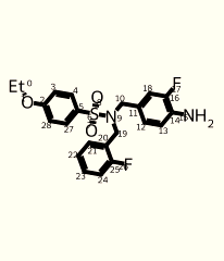 CCOc1ccc(S(=O)(=O)N(Cc2ccc(N)c(F)c2)Cc2ccccc2F)cc1